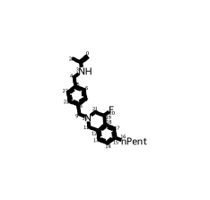 C=C(C)NCc1ccc(CN2Cc3ccc(CCCCC)cc3C(F)C2)cc1